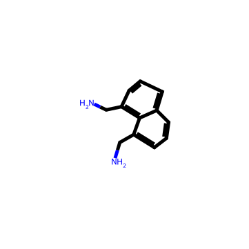 NCc1cccc2cccc(CN)c12